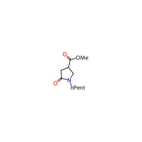 CCCCCN1CC(C(=O)OC)CC1=O